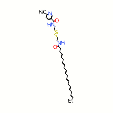 CCC=CCC=CCC=CCC=CCC=CCC=CCCC(=O)NCCSSCCNC(=O)c1ccc(C#N)nc1